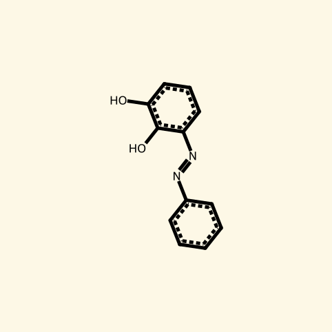 Oc1cccc(N=Nc2ccccc2)c1O